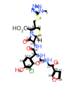 Cn1nnnc1SCC1=C(C(=O)O)N2C(=O)C(NC(=O)C(NC(=O)NCC(=O)c3ccoc3)c3ccc(O)c(Cl)c3)[C@@H]2SC1